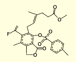 C=C(F)c1c(C)c2c(c(OS(=O)(=O)c3ccc(C)cc3)c1C/C=C(\C)CCC(=O)OC)C(=O)OC2